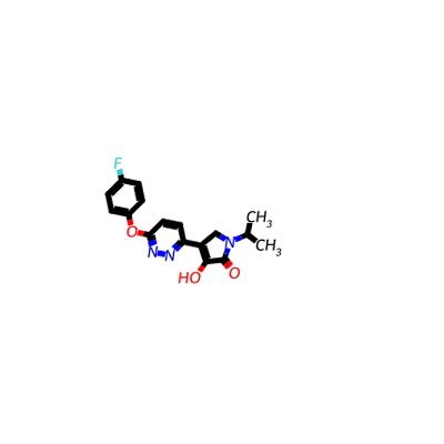 CC(C)N1CC(c2ccc(Oc3ccc(F)cc3)nn2)=C(O)C1=O